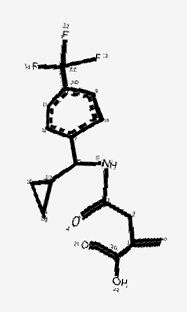 C=C(CC(=O)NC(c1ccc(C(F)(F)F)cc1)C1CC1)C(=O)O